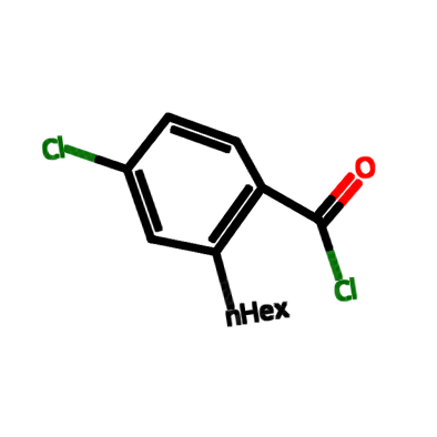 CCCCCCc1cc(Cl)ccc1C(=O)Cl